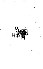 CS(=O)(=O)N(NC(=O)[C@H](CC1CCCC1)[C@H](CC=Cc1ccccc1)C(=O)NO)c1ccccc1